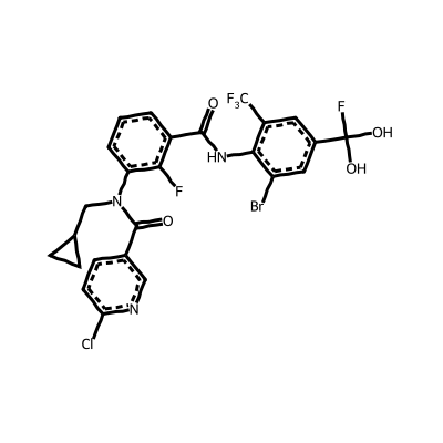 O=C(Nc1c(Br)cc(C(O)(O)F)cc1C(F)(F)F)c1cccc(N(CC2CC2)C(=O)c2ccc(Cl)nc2)c1F